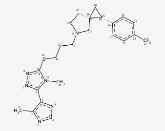 Cc1ncsc1-c1nnc(SCCCN2CC[C@@]3(C[C@@H]3c3ccc(C(F)(F)F)cc3)C2)n1C